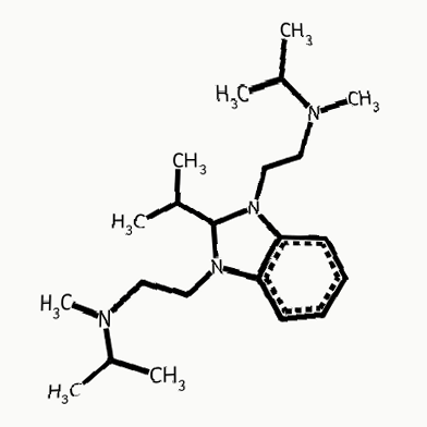 CC(C)C1N(CCN(C)C(C)C)c2ccccc2N1CCN(C)C(C)C